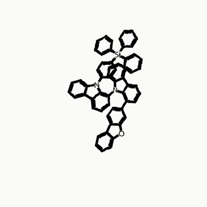 c1ccc([Si](c2ccccc2)(c2ccccc2)c2ccc(-n3c4ccccc4c4cccc(-n5c6ccccc6c6cccc(-c7ccc8c(c7)oc7ccccc78)c65)c43)cc2)cc1